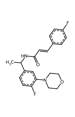 CC(NC(=O)C=Cc1ccc(F)cc1)c1ccc(F)c(N2CCOCC2)c1